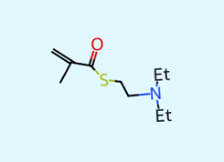 C=C(C)C(=O)SCCN(CC)CC